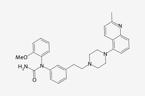 COc1ccccc1N(C(N)=O)c1cccc(CCN2CCN(c3cccc4nc(C)ccc34)CC2)c1